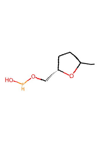 CC1CC[C@@H](COPO)O1